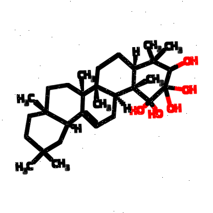 CC1(C)CC[C@]2(C)CC[C@]3(C)C(=CC[C@@H]4[C@]5(C)[C@@H](CC[C@]43C)C(C)(C)C(O)C(O)(O)C5(O)O)[C@@H]2C1